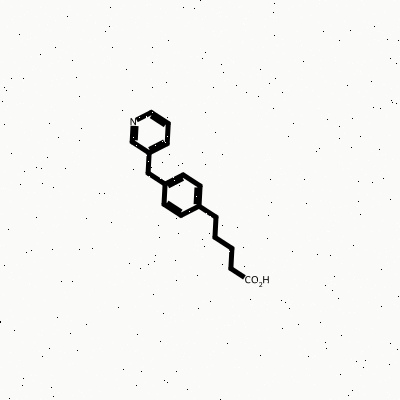 O=C(O)CCCCc1ccc(Cc2cccnc2)cc1